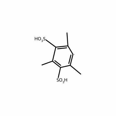 Cc1[c]c(C)c(S(=O)(=O)O)c(C)c1S(=O)(=O)O